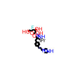 CC(C)c1[nH]nc(OC2OC(CO)C(F)C(O)C2O)c1Cc1ccc(/C=C/CN2CCNCC2)cc1